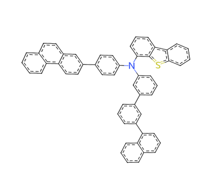 c1cc(-c2cccc(N(c3ccc(-c4ccc5c(ccc6ccccc65)c4)cc3)c3cccc4c3sc3ccccc34)c2)cc(-c2cccc3ccccc23)c1